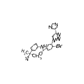 CC(C)(C#N)c1cccc(NC(=O)c2ccc(Br)c(-n3cc(-c4cncnc4)nn3)c2)c1